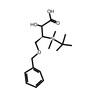 CC(C)(C)[Si](C)(C)[C@@H](COCc1ccccc1)C(O)C(=O)O